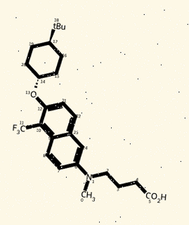 CN(CCCC(=O)O)c1ccc2c(C(F)(F)F)c(O[C@H]3CC[C@H](C(C)(C)C)CC3)ccc2c1